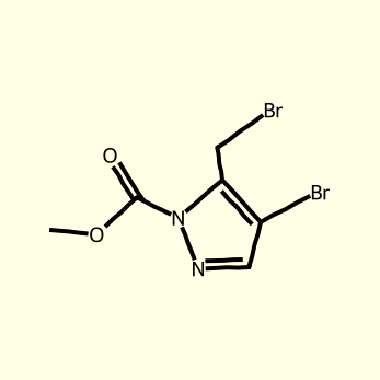 COC(=O)n1ncc(Br)c1CBr